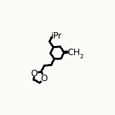 C=C1CC(CCC2OCCO2)CC(CC(C)C)C1